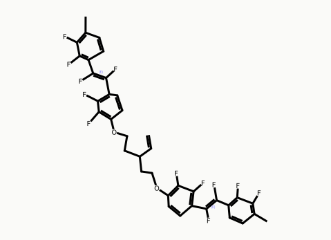 C=CC(CCOc1ccc(/C(F)=C(\F)c2ccc(C)c(F)c2F)c(F)c1F)CCOc1ccc(/C(F)=C(\F)c2ccc(C)c(F)c2F)c(F)c1F